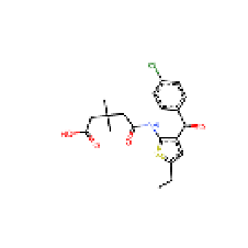 CCc1cc(C(=O)c2ccc(Cl)cc2)c(NC(=O)CC(C)(C)CC(=O)O)s1